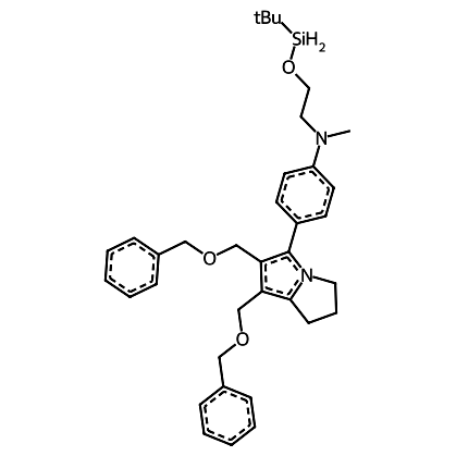 CN(CCO[SiH2]C(C)(C)C)c1ccc(-c2c(COCc3ccccc3)c(COCc3ccccc3)c3n2CCC3)cc1